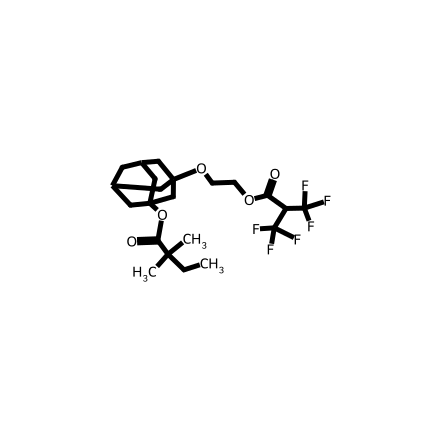 CCC(C)(C)C(=O)OC12CC3CC(CC(OCCOC(=O)C(C(F)(F)F)C(F)(F)F)(C3)C1)C2